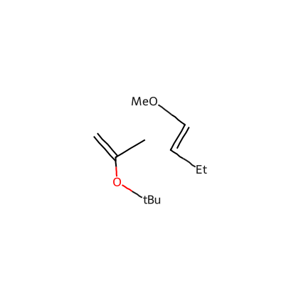 C=C(C)OC(C)(C)C.CCC=COC